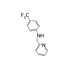 FC(F)(F)c1ccc(NCc2ccccn2)cc1